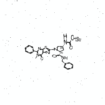 Cn1c(-c2ccccc2)nc2sc(N3C[C@H](NC(=O)OC(C)(C)C)C[C@@H]3C(=O)NCc3ccccc3)nc2c1=O